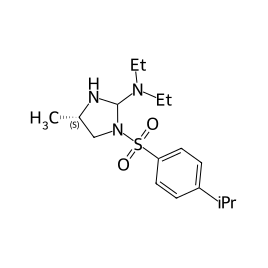 CCN(CC)C1N[C@@H](C)CN1S(=O)(=O)c1ccc(C(C)C)cc1